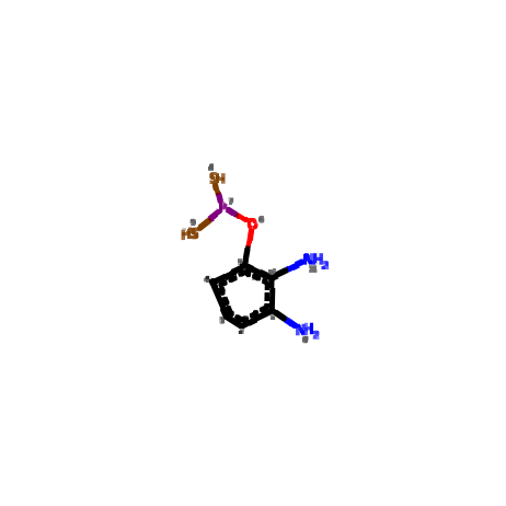 Nc1cccc(OP(S)S)c1N